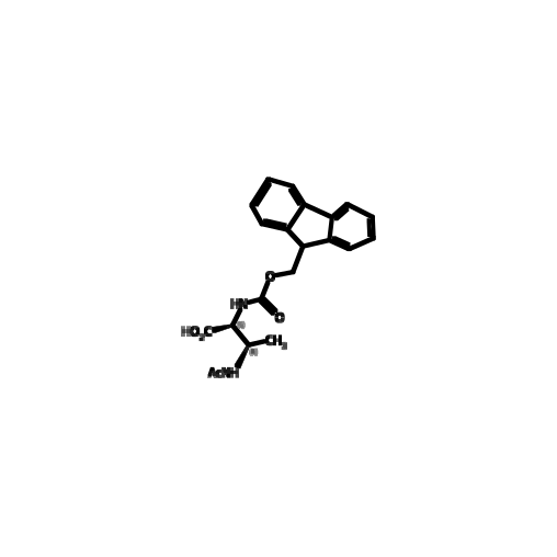 CC(=O)N[C@H](C)[C@H](NC(=O)OCC1c2ccccc2-c2ccccc21)C(=O)O